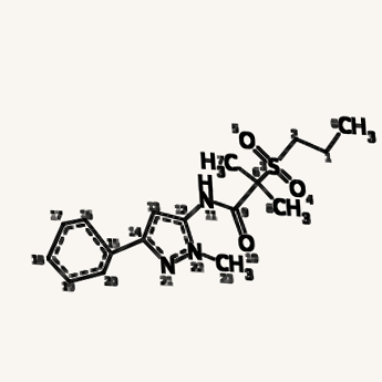 CCCS(=O)(=O)C(C)(C)C(=O)Nc1cc(-c2ccccc2)nn1C